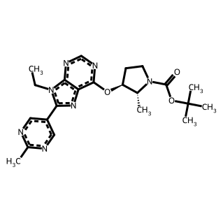 CCn1c(-c2cnc(C)nc2)nc2c(O[C@H]3CCN(C(=O)OC(C)(C)C)[C@@H]3C)ncnc21